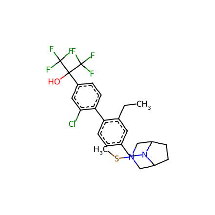 CCc1cc(CN2C3CCC2CN(SC)C3)ccc1-c1ccc(C(O)(C(F)(F)F)C(F)(F)F)cc1Cl